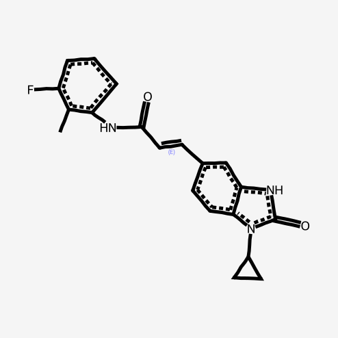 Cc1c(F)cccc1NC(=O)/C=C/c1ccc2c(c1)[nH]c(=O)n2C1CC1